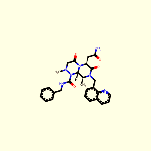 C[C@H]1[C@H]2N(C(=O)CN(C)N2C(=O)NCc2ccccc2)[C@@H](CC(N)=O)C(=O)N1Cc1cccc2cccnc12